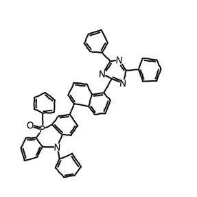 O=P1(c2ccccc2)c2ccccc2N(c2ccccc2)c2ccc(-c3cccc4c(-c5nc(-c6ccccc6)nc(-c6ccccc6)n5)cccc34)cc21